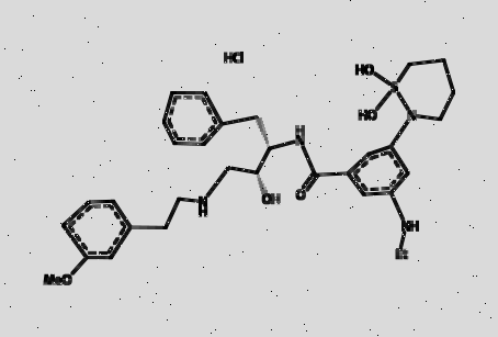 CCNc1cc(C(=O)N[C@@H](Cc2ccccc2)[C@H](O)CNCCc2cccc(OC)c2)cc(N2CCCCS2(O)O)c1.Cl